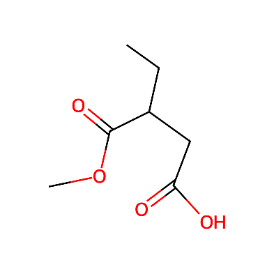 CCC(CC(=O)O)C(=O)OC